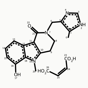 Cc1[nH]cnc1CN1CCc2c(c3cccc(O)c3n2C)C1=O.O=C(O)/C=C\C(=O)O